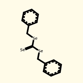 [Se]=C([Se]Cc1ccccc1)[Se]Cc1ccccc1